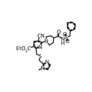 CCOC(=O)c1cc(C#N)c(N2CCC(C(=O)NS(=O)(=O)Cc3ccccc3)CC2)nc1CSCc1nccn1C